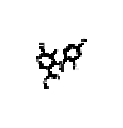 COC(=O)c1cnc(Cl)c(C)c1Nc1ccc(Br)cc1Cl